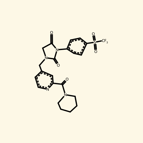 O=C(c1cc(CN2CC(=O)N(c3ccc(S(=O)(=O)C(F)(F)F)cc3)C2=O)ccn1)N1CCCCC1